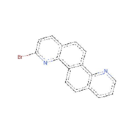 Brc1ccc2ccc3c(ccc4cccnc43)c2n1